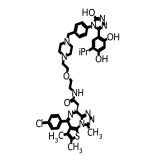 Cc1sc2c(c1C)C(c1ccc(Cl)cc1)=N[C@@H](CC(=O)NCCOCCN1CCN(Cc3ccc(-n4c(O)nnc4-c4cc(C(C)C)c(O)cc4O)cc3)CC1)c1nnc(C)n1-2